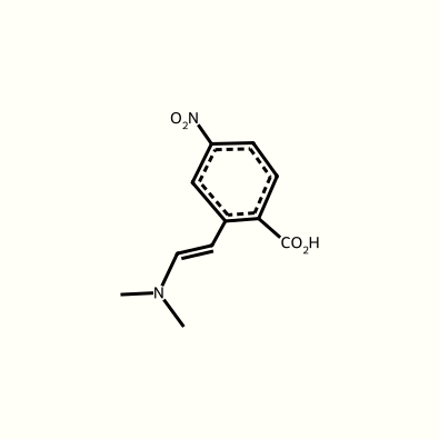 CN(C)/C=C/c1cc([N+](=O)[O-])ccc1C(=O)O